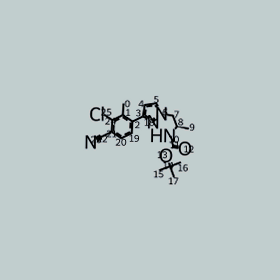 Cc1c(-c2ccn(C[C@@H](C)NC(=O)OC(C)(C)C)n2)ccc(C#N)c1Cl